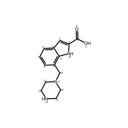 O=C(O)c1cc2cccc(CN3CCNCC3)c2[nH]1